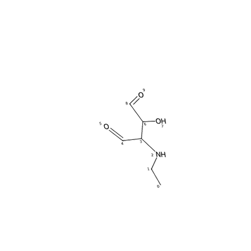 CCNC(C=O)C(O)C=O